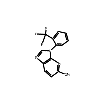 Oc1ccc2ncn(-c3ccccc3C(F)(F)F)c2n1